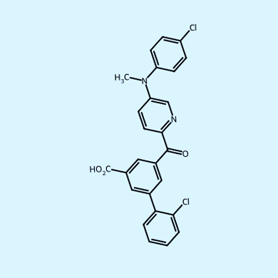 CN(c1ccc(Cl)cc1)c1ccc(C(=O)c2cc(C(=O)O)cc(-c3ccccc3Cl)c2)nc1